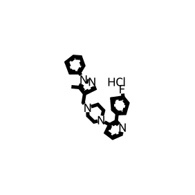 Cc1c(CN2CCN(c3cccnc3-c3ccc(F)cc3)CC2)cnn1-c1ccccc1.Cl